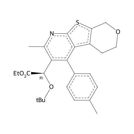 CCOC(=O)[C@H](OC(C)(C)C)c1c(C)nc2sc3c(c2c1-c1ccc(C)cc1)CCOC3